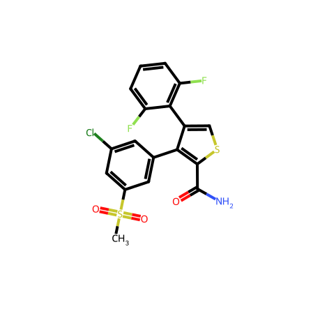 CS(=O)(=O)c1cc(Cl)cc(-c2c(-c3c(F)cccc3F)csc2C(N)=O)c1